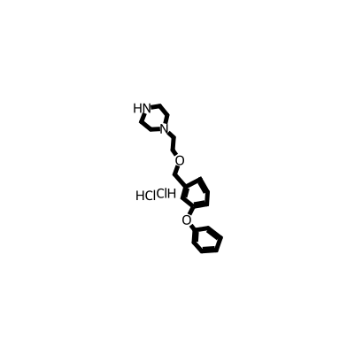 Cl.Cl.c1ccc(Oc2cccc(COCCN3CCNCC3)c2)cc1